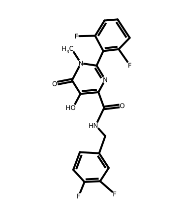 Cn1c(-c2c(F)cccc2F)nc(C(=O)NCc2ccc(F)c(F)c2)c(O)c1=O